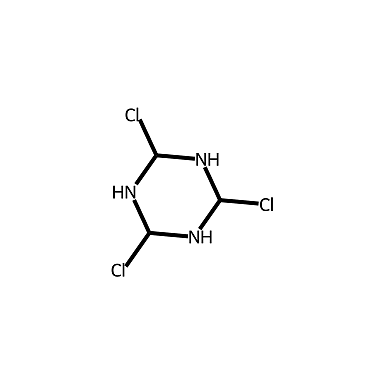 ClC1NC(Cl)NC(Cl)N1